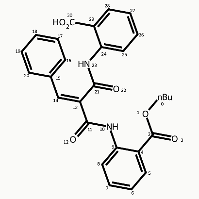 CCCCOC(=O)c1ccccc1NC(=O)C(=Cc1ccccc1)C(=O)Nc1ccccc1C(=O)O